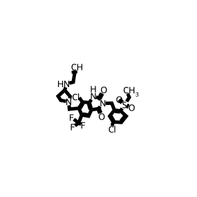 C#CCNC1CCN(Cc2c(C(F)(F)F)cc3c(=O)n(Cc4cc(Cl)ccc4S(=O)(=O)CC)c(=O)[nH]c3c2Cl)C1